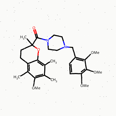 COc1ccc(CN2CCN(C(=O)C3(C)CCc4c(C)c(OC)c(C)c(C)c4O3)CC2)c(OC)c1OC